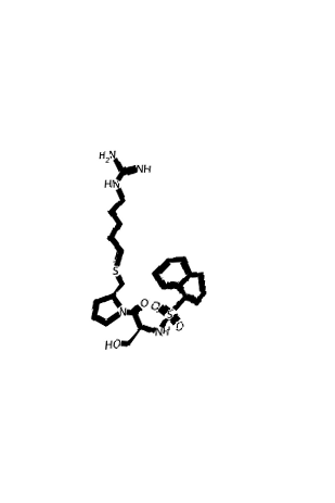 N=C(N)NCCCCCSC[C@@H]1CCCN1C(=O)[C@H](CO)NS(=O)(=O)c1cccc2ccccc12